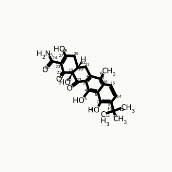 Cc1c2c(c(O)c3c(O)c(C(C)(C)C)ccc13)C(=O)[C@]1(O)C(=O)C(C(N)=O)=C(O)C[C@@H]1C2